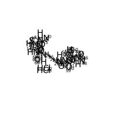 CNC(C)C(=O)N[C@H]1CCS[C@H]2CC(C)(C)[C@@H](C(=O)NC(C(=O)NCC#CC#CCNC(=O)C(NC(=O)[C@H]3N4C(=O)[C@@H](NC(=O)C(C)NC)CCS[C@H]4CC3(C)C)c3ccccc3)c3ccccc3)N2C1=O.Cl.Cl